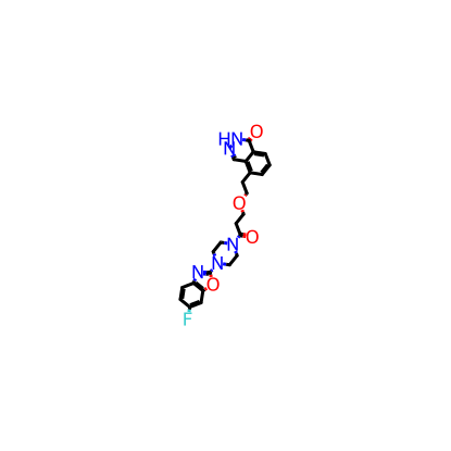 O=C(CCOCCc1cccc2c(=O)[nH]ncc12)N1CCN(c2nc3ccc(F)cc3o2)CC1